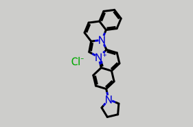 [Cl-].c1ccc2c(c1)ccc1c[n+]3c4ccc(N5CCCC5)cc4ccc3n12